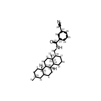 C[C@H]1CC[C@H]2C(CC[C@@H]3C2CC[C@@]2(C)C3CCC[C@@H]2CNC(=O)c2cccc(C#N)c2)C1